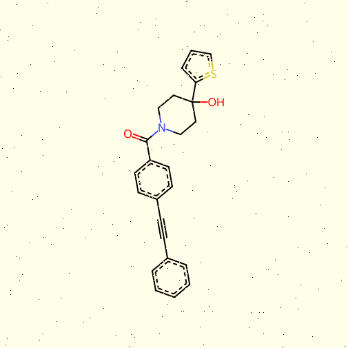 O=C(c1ccc(C#Cc2ccccc2)cc1)N1CCC(O)(c2cccs2)CC1